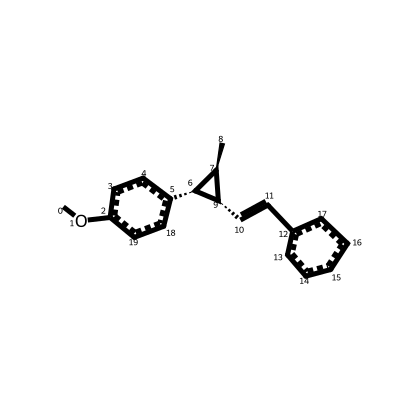 COc1ccc([C@@H]2[C@@H](C)[C@@H]2/C=C/c2ccccc2)cc1